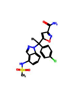 CCC(c1ccc(Cl)cc1)(c1cc(C(N)=O)no1)n1ncc2c(NS(C)(=O)=O)cccc21